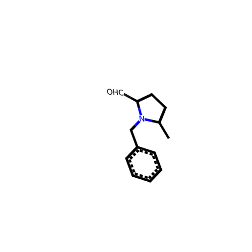 CC1CCC(C=O)N1Cc1ccccc1